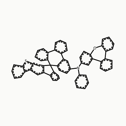 c1ccc(N(c2ccc3c(c2)-c2ccccc2-c2ccccc2O3)c2ccc3c(c2)-c2ccccc2-c2ccccc2C32c3ccccc3-c3cc4c(cc32)sc2ccccc24)cc1